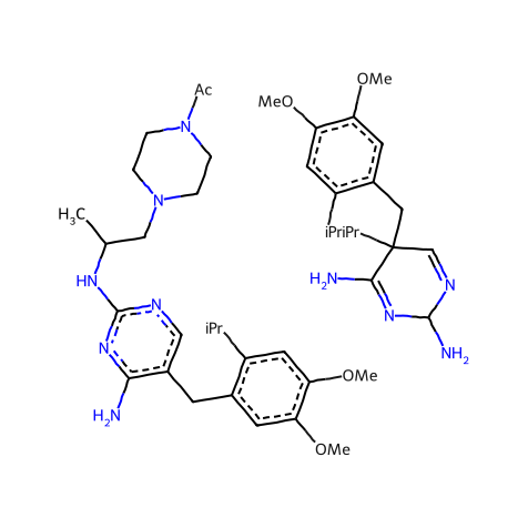 COc1cc(CC2(C(C)C)C=NC(N)N=C2N)c(C(C)C)cc1OC.COc1cc(Cc2cnc(NC(C)CN3CCN(C(C)=O)CC3)nc2N)c(C(C)C)cc1OC